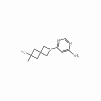 CC1(O)CC2(CN(c3cc(N)ncn3)C2)C1